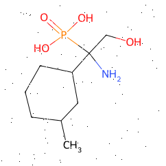 CC1CCCC(C(N)(CO)P(=O)(O)O)C1